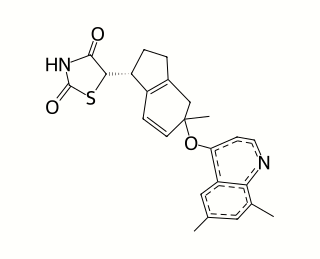 Cc1cc(C)c2nccc(OC3(C)C=CC4=C(CC[C@H]4C4SC(=O)NC4=O)C3)c2c1